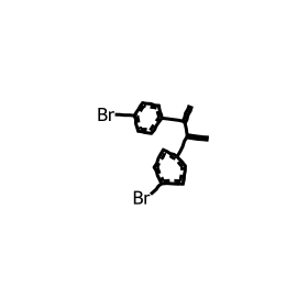 C=C(C(=C)c1ccc(Br)cc1)c1ccc(Br)cc1